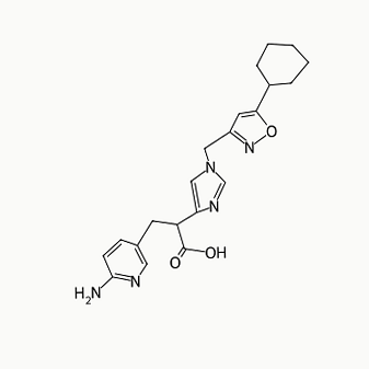 Nc1ccc(CC(C(=O)O)c2cn(Cc3cc(C4CCCCC4)on3)cn2)cn1